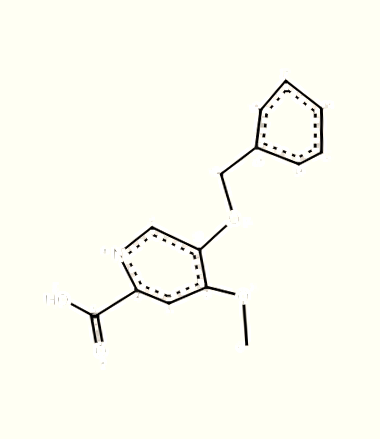 COc1cc(C(=O)O)ncc1OCc1ccccc1